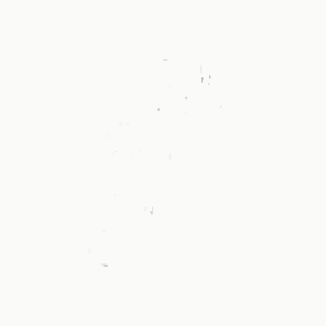 CC(=O)Nc1ccc(-c2cccc(-c3cnc(-c4ccccc4)o3)c2O)cc1F